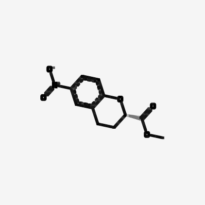 COC(=O)[C@@H]1CCc2cc([N+](=O)[O-])ccc2O1